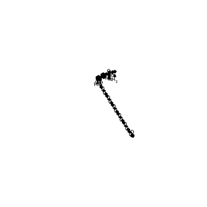 CCCN(OCC)C(=O)C1=Cc2ccc(-c3cccc(S(=O)(=O)NCCOCCOCCOCCOCCOCCOCCOCCOCCOCCOCCC(=O)OC(C)(C)C)c3)cc2N=C(N)C1